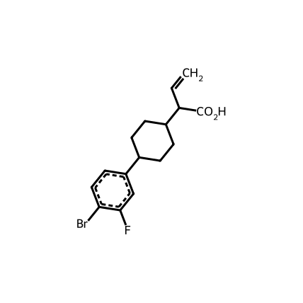 C=CC(C(=O)O)C1CCC(c2ccc(Br)c(F)c2)CC1